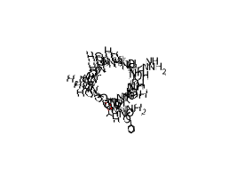 CC[C@H](C)[C@@H]1NC(=O)[C@@H](CCCNC(=N)N)NC(=O)[C@H](CC(C)C)NC(=O)[C@H]([C@H](O)C(C)C)NC(=O)[C@@H](NC(=O)[C@H](CC(C)C)NC(=O)[C@H](CN)NC(=O)OCc2ccccc2)[C@@H](c2ccccc2)OC(=O)[C@H](CO)NC(=O)[C@H]([C@H](O)C(N)=O)NC(=O)CNC(=O)[C@H]([C@H](C)O)NC1=O